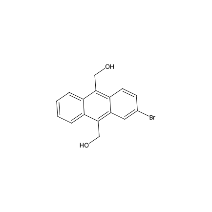 OCc1c2ccccc2c(CO)c2cc(Br)ccc12